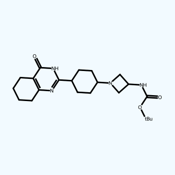 CC(C)(C)OC(=O)NC1CN(C2CCC(c3nc4c(c(=O)[nH]3)CCCC4)CC2)C1